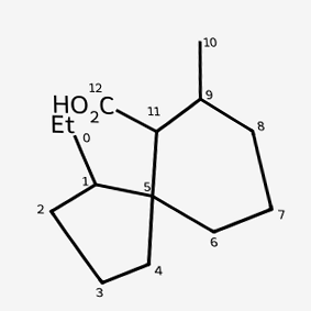 CCC1CCCC12CCCC(C)C2C(=O)O